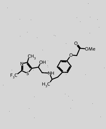 COC(=O)COc1ccc(CC(C)NCC(O)c2sc(C(F)(F)F)nc2C)cc1